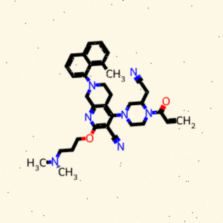 C=CC(=O)N1CCN(c2c(C#N)c(OCCCN(C)C)nc3c2CCN(c2cccc4cccc(C)c24)C3)CC1CC#N